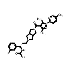 Cc1ccc(-n2nc(C)c(C(=O)N3CC4CN(CC[C@H](NC(=O)C(C)C)c5cccc(F)c5)CC4C3)c2C)nn1